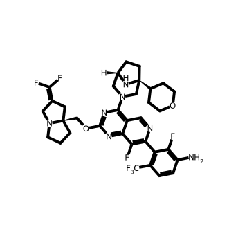 Nc1ccc(C(F)(F)F)c(-c2ncc3c(N4C[C@@H]5CC[C@](C6CCOCC6)(C4)N5)nc(OC[C@@]45CCCN4CC(=C(F)F)C5)nc3c2F)c1F